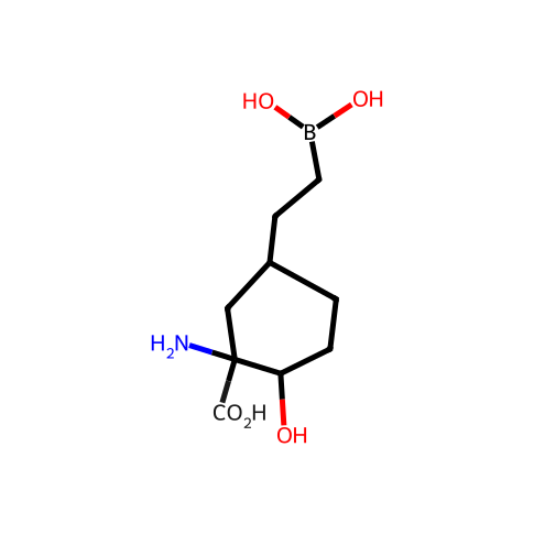 NC1(C(=O)O)CC(CCB(O)O)CCC1O